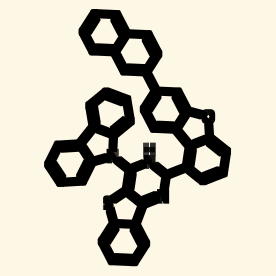 c1ccc2cc(-c3ccc4c(c3)oc3cccc(C5N=c6c(sc7ccccc67)=C(n6c7ccccc7c7ccccc76)N5)c34)ccc2c1